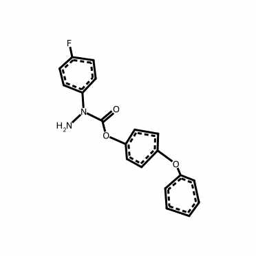 NN(C(=O)Oc1ccc(Oc2ccccc2)cc1)c1ccc(F)cc1